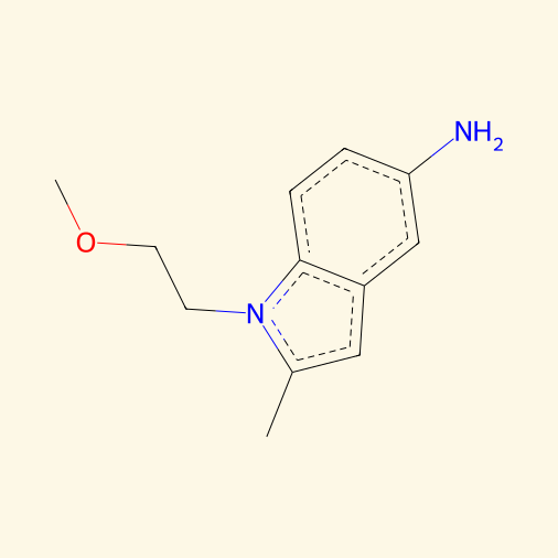 COCCn1c(C)cc2cc(N)ccc21